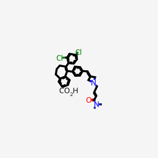 CN(C)C(=O)C=CCN1CC(=Cc2ccc(C3=C(c4ccc(Cl)cc4Cl)CCCc4cc(C(=O)O)ccc43)cc2)C1